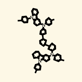 Cc1ccc(N(c2ccc(-c3cccc(-c4cccc(N(c5ccc(C)cc5)c5ccc6c(c5)c5ccccc5n6-c5ccc(C)cc5)c4)c3)cc2)c2ccc3c(c2)c2ccccc2n3-c2ccc(C)cc2)cc1